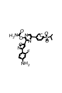 CC(C)S(=O)(=O)c1ccc(-c2cnc(OC(N)=O)c(-c3cc(-c4ccc(N)cc4F)no3)n2)cc1